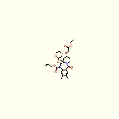 C=CCOC(=O)N1c2cc(C)c(C)cc2C(=O)N2CC[C@@H](OCC(=O)OCC)C[C@H]2C1OC1CCCCO1